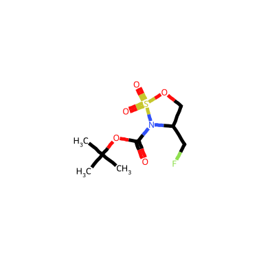 CC(C)(C)OC(=O)N1C(CF)COS1(=O)=O